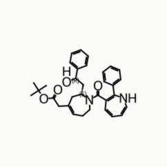 CC(C)(C)OC(=O)CC1=CCCN(C(=O)C2=C(c3ccccc3)NC=CC=C2)[C@H](C[C@@H](O)c2ccccc2)C1